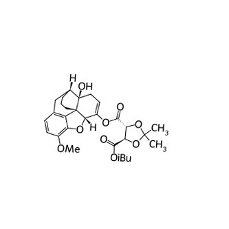 COc1ccc2c3c1O[C@H]1C(OC(=O)[C@@H]4OC(C)(C)O[C@H]4C(=O)OCC(C)C)=CC[C@@]4(O)[C@H](CCC[C@]314)C2